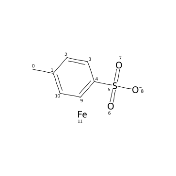 Cc1ccc(S(=O)(=O)[O-])cc1.[Fe]